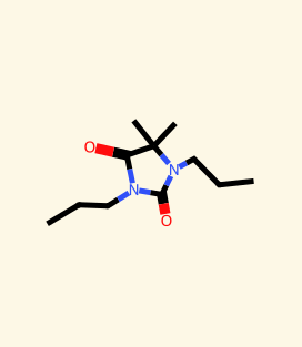 CCCN1C(=O)N(CCC)C(C)(C)C1=O